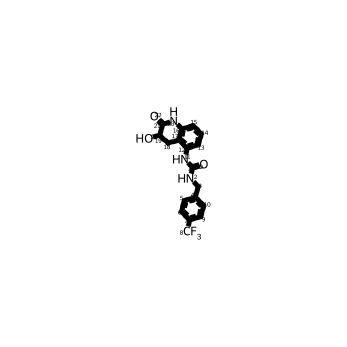 O=C(NCc1ccc(C(F)(F)F)cc1)Nc1cccc2c1CC(O)C(=O)N2